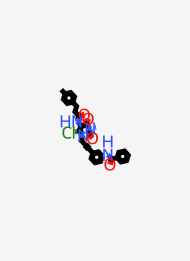 Cc1ccc(CCC(=O)Nc2c(Cl)n(CC#Cc3cccc(NC(=O)c4ccccc4)c3)c(=O)n(C)c2=O)cc1